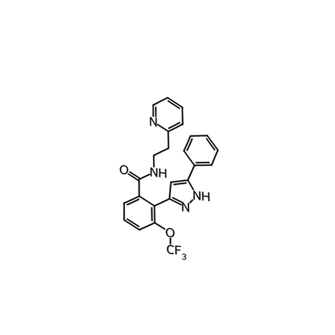 O=C(NCCc1ccccn1)c1cccc(OC(F)(F)F)c1-c1cc(-c2ccccc2)[nH]n1